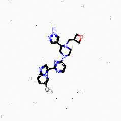 FC(F)(F)c1ccc2ncc(-c3nccc(N4CCN(CC5COC5)C(c5cn[nH]c5)C4)n3)n2c1